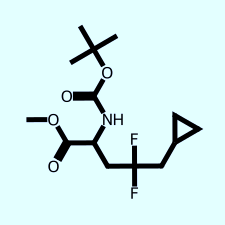 COC(=O)C(CC(F)(F)CC1CC1)NC(=O)OC(C)(C)C